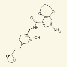 Nc1cc2c(c(C(=O)NC[C@@H]3CCN(CCC4OCCO4)C[C@H]3O)c1)OCCCO2